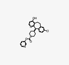 O=C(Oc1cccnc1)N1CCC(=C2c3ccc(Cl)cc3CCc3c(O)ccnc32)CC1